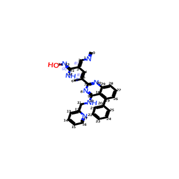 C=N/C=C(\C=C(/C)c1nc(NCc2ccccn2)c2c(-c3ccccc3)cccc2n1)C(/N)=N/O